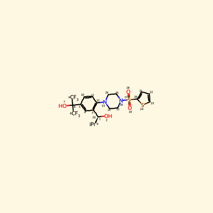 CC(C)[C@H](O)c1cc(C(O)(C(F)(F)F)C(F)(F)F)ccc1N1CCN(S(=O)(=O)c2cccs2)CC1